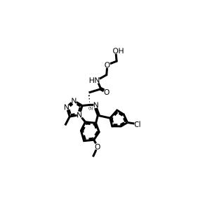 COc1ccc2c(c1)C(c1ccc(Cl)cc1)=N[C@@H](CC(=O)NCOCO)c1nnc(C)n1-2